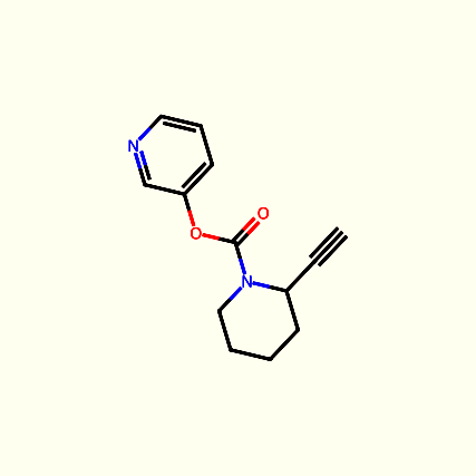 C#CC1CCCCN1C(=O)Oc1cccnc1